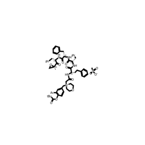 CC(=O)c1cc(C[N+]2(CC(=O)N[C@@H](CCc3ccccc3)C(=O)N[C@@H](CC(C)C)C(=O)N[C@@H](Cc3ccccc3)C(=O)N[C@@H](CC(C)C)C(=O)[C@@]3(C)CO3)CCOCC2)ccc1OC(=O)C(C)(C)C.CS(=O)(=O)[O-]